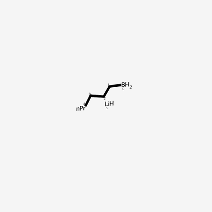 BCCCCCC.[LiH]